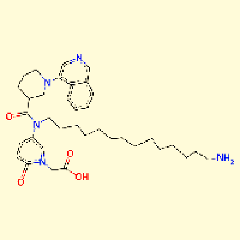 NCCCCCCCCCCCCCCN(C(=O)C1CCCN(c2cncc3ccccc23)C1)c1ccc(=O)n(CC(=O)O)c1